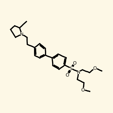 COCCN(CCOC)S(=O)(=O)c1ccc(-c2ccc(CCN3CCCC3C)cc2)cc1